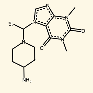 CCC(N1CCC(N)CC1)n1cnc2c1c(=O)n(C)c(=O)n2C